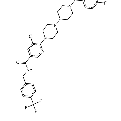 O=C(NCc1ccc(C(F)(F)F)cc1)c1cnc(N2CCN(C3CCN(Cc4ccc(F)cc4)CC3)CC2)c(Cl)c1